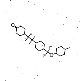 CC1CCC(OC(F)(F)C2CCC(C(C)(C)C(C)(C)C3CCC(=O)CC3)CC2)CC1